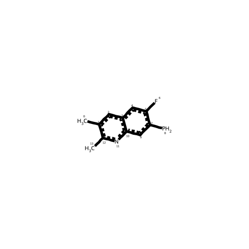 Cc1cc2cc(F)c(P)cc2nc1C